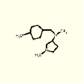 CC1CCC(CN(C)C2CCN(C)C2)CC1